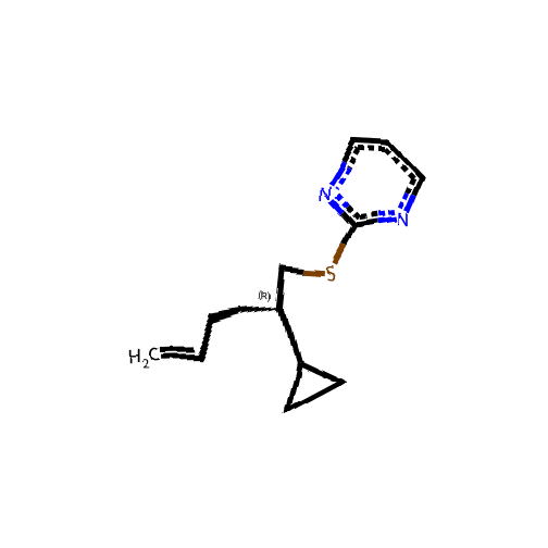 C=CC[C@@H](CSc1ncccn1)C1CC1